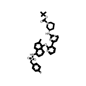 Cc1ccc2c(NS(=O)(=O)Cc3ccc(F)cc3)cccc2c1Oc1ncccc1-c1ccnc(N[C@H]2CCCN(C(=O)OC(C)(C)C)C2)n1